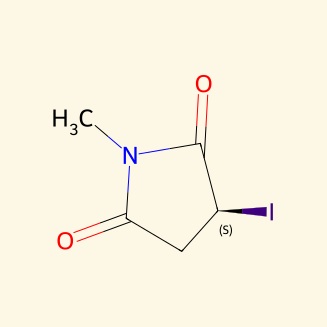 CN1C(=O)C[C@H](I)C1=O